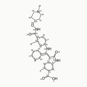 Cc1cc2c(cc1C(=O)O)NC(=O)/C2=C(\Nc1ccc(C(=O)NOC2CCN(C)CC2)c(C)c1)c1ccccc1